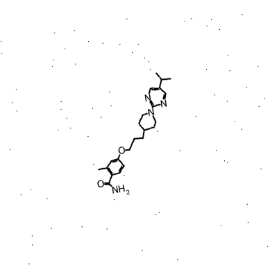 Cc1cc(OCCCC2CCN(c3ncc(C(C)C)cn3)CC2)ccc1C(N)=O